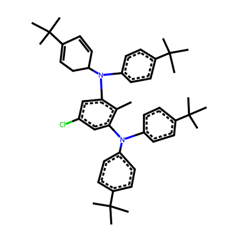 Cc1c(N(c2ccc(C(C)(C)C)cc2)c2ccc(C(C)(C)C)cc2)cc(Cl)cc1N(c1ccc(C(C)(C)C)cc1)C1C=CC(C(C)(C)C)=CC1